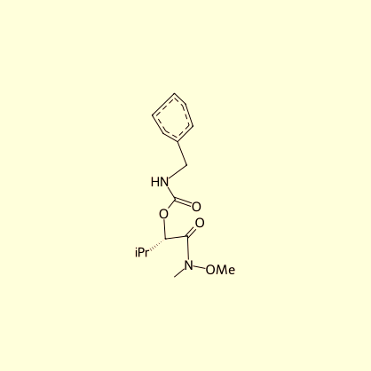 CON(C)C(=O)[C@@H](OC(=O)NCc1ccccc1)C(C)C